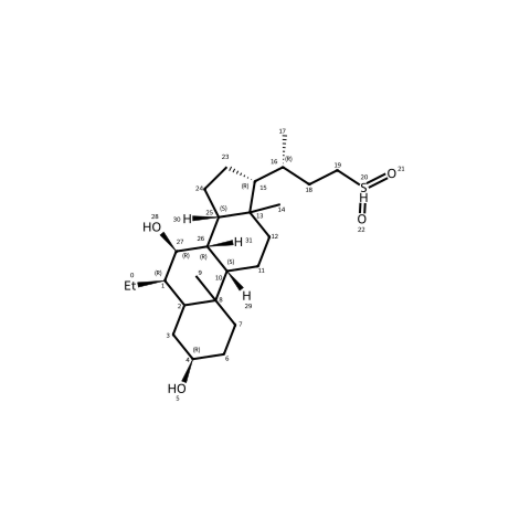 CC[C@@H]1C2C[C@H](O)CCC2(C)[C@H]2CCC3(C)[C@@H]([C@H](C)CC[SH](=O)=O)CC[C@H]3[C@H]2[C@@H]1O